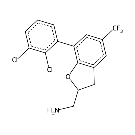 NCC1Cc2cc(C(F)(F)F)cc(-c3cccc(Cl)c3Cl)c2O1